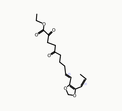 C/C=C\C1=C(/C=C/CCCC(=O)CCC(=O)C(=O)OCC)OCO1